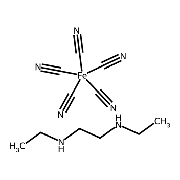 CCNCCNCC.N#[C][Fe]([C]#N)([C]#N)([C]#N)[C]#N